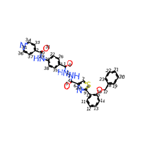 O=C(NNC(=O)c1csc(-c2ccccc2OCc2ccccc2)n1)c1ccc(NC(=O)c2ccncc2)cc1